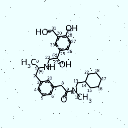 C[C@H](Cc1cccc(CC(=O)N(C)CC2CCCCC2)c1)NC[C@H](O)c1ccc(O)c(CO)c1